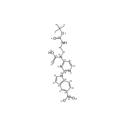 CC(C)(C)OC(=O)NCCN(C(=O)O)c1ccnc(-n2ccc3cc([N+](=O)[O-])ccc32)n1